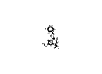 CO[C@@H]1C[C@@H](C(=O)C(C)C)N(C(=O)OCc2ccccc2)C1